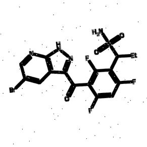 CCC(c1c(F)cc(F)c(C(=O)c2n[nH]c3ncc(Br)cc23)c1F)S(N)(=O)=O